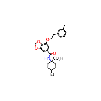 CCC1CCC(NC(=O)c2cc(OCCc3cccc(C)c3)c3c(c2)OCO3)(C(=O)O)CC1